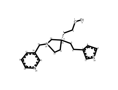 CCOCC[C@]1(CCc2ccsc2)CCN(Cc2cccnc2)C1